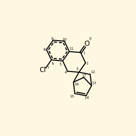 O=C1CC2(Cc3c(Cl)cccc31)CC1C=CC2C1